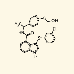 C[C@H](NC(=O)c1cccc2[nH]cc(Sc3cccc(Cl)c3)c12)c1ccc(OCO)cc1